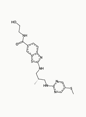 CSc1cnc(NC[C@H](C)CNc2nc3ccc(C(=O)NCCO)cc3s2)nc1